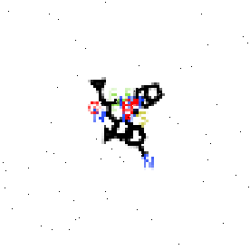 N#Cc1cc(C2CC2)c2nc(NC3C4CCC3CC(OCc3c(-c5ccccc5OC(F)(F)F)noc3C3CC3)C4)sc2c1